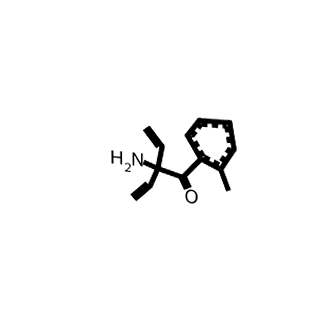 C=CC(N)(C=C)C(=O)c1ccccc1C